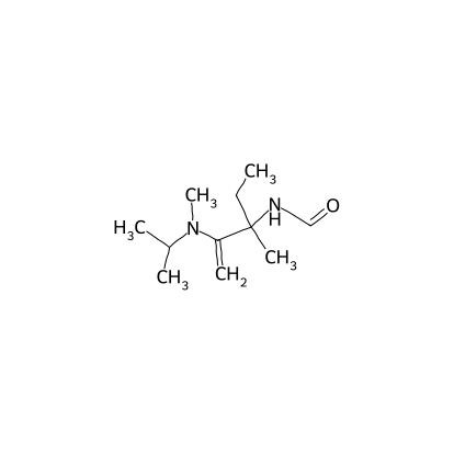 C=C(N(C)C(C)C)C(C)(CC)NC=O